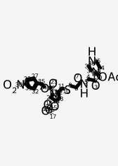 CC(=O)ON(C(=O)CNC(=O)CCSCC1CC(OS(C)(=O)=O)CN1C(=O)OCc1ccc([N+](=O)[O-])cc1)N1CCNCC1